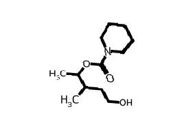 CC(CCO)C(C)OC(=O)N1CCCCC1